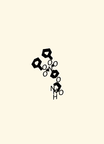 O=C(OCc1ccccc1)N(C(=O)OCc1ccccc1)c1ccc(Oc2cn[nH]c(=O)c2)cc1